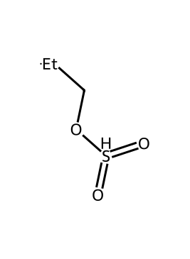 C[CH]CO[SH](=O)=O